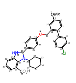 COc1ccc(-c2ccc(Cl)cc2)c(COc2ccc(C3Nc4cccc(C(=O)O)c4N3C3CCCCC3)cc2)c1